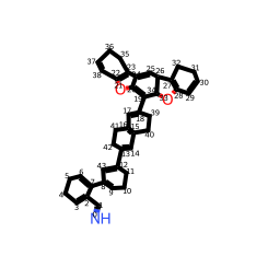 N=CC1=CCCC=C1C1=CCCC(C2=CC3=C(C=C(C4=c5oc6c(c5=CC5C7=C(C=CCC7)OC45)CCC=C6)CC3)CC2)=C1